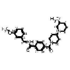 CC1CCCN(C2CCN(C(=O)c3ccc(C(=O)NCc4cccc(OC(F)(F)F)c4)cc3)CC2)C1